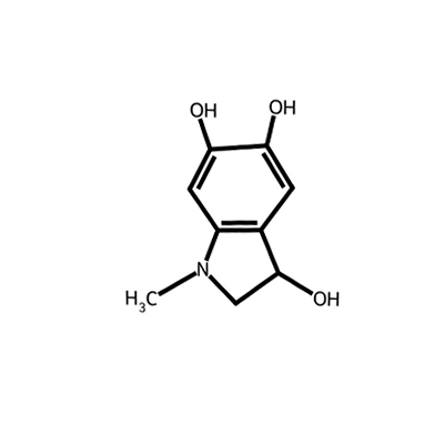 CN1CC(O)c2cc(O)c(O)cc21